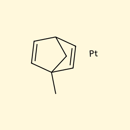 CC12C=CC(C=C1)C2.[Pt]